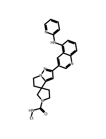 CCNC(=O)N1CCC2(CCn3nc(-c4cnc5cccc(Nc6ccccn6)c5c4)cc32)C1